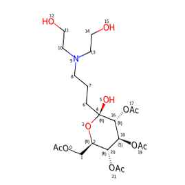 CC(=O)OC[C@H]1O[C@](O)(CCCN(CCO)CCO)[C@H](OC(C)=O)[C@@H](OC(C)=O)[C@@H]1OC(C)=O